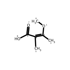 COC(C)=C(C)C(=O)O